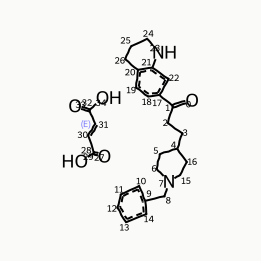 O=C(CCC1CCN(Cc2ccccc2)CC1)c1ccc2c(c1)NCCC2.O=C(O)/C=C/C(=O)O